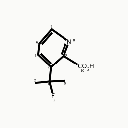 CC(C)(F)c1cccnc1C(=O)O